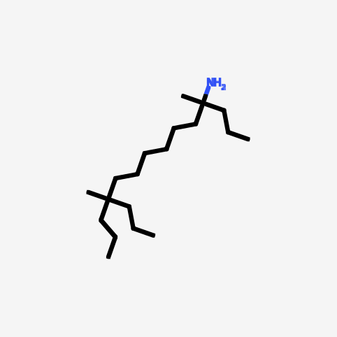 CCCC(C)(N)CCCCCCC(C)(CCC)CCC